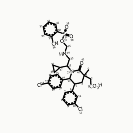 CC1(CC(=O)O)CC(c2cccc(Cl)c2)C(c2ccc(Cl)cc2)N(C(CNCOS(=O)(=O)c2ccccc2C#N)C2CC2)C1=O